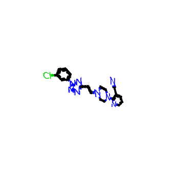 N#Cc1cccnc1N1CCN(CCc2nnn(-c3cccc(Cl)c3)n2)CC1